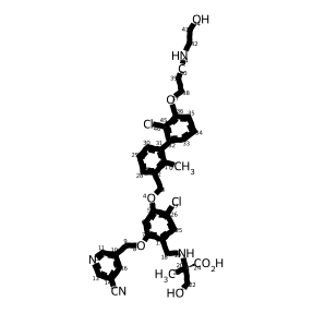 Cc1c(COc2cc(OCc3cncc(C#N)c3)c(CN[C@](C)(CO)C(=O)O)cc2Cl)cccc1-c1cccc(OCCCNCCO)c1Cl